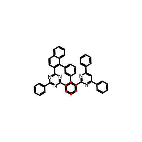 c1ccc(-c2cc(-c3ccccc3)nc(-c3ccccc3-c3cccc(-c4c(-c5nc(-c6ccccc6)nc(-c6ccccc6)n5)ccc5ccccc45)c3)n2)cc1